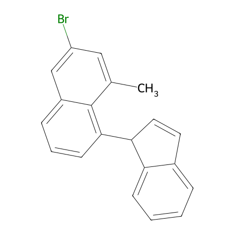 Cc1cc(Br)cc2cccc(C3C=Cc4ccccc43)c12